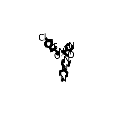 CN1CCC(N2CCN(C(=O)[C@@](C)(NC(=O)c3cc4ccc(Cl)cc4s3)c3ccncc3)CC2)CC1